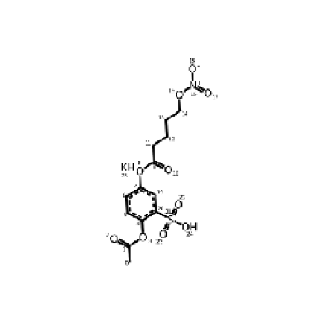 CC(=O)Oc1ccc(OC(=O)CCCCO[N+](=O)[O-])cc1S(=O)(=O)O.[KH]